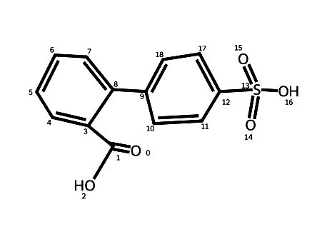 O=C(O)c1ccccc1-c1ccc(S(=O)(=O)O)cc1